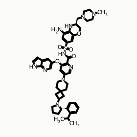 CC(C)c1ccccc1[C@@H]1CCCN1C1CC2(CCN(c3cnc(C(=O)NS(=O)(=O)c4cc(N)c5c(c4)OC[C@H](CN4CCN(C)CC4)N5)c(Oc4cnc5[nH]ccc5c4)c3)CC2)C1